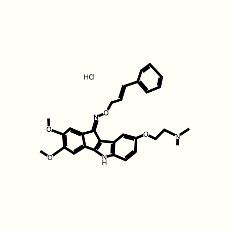 COc1cc2c(cc1OC)-c1[nH]c3ccc(OCCN(C)C)cc3c1/C2=N\OCC=Cc1ccccc1.Cl